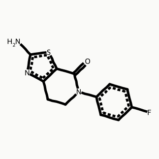 Nc1nc2c(s1)C(=O)N(c1ccc(F)cc1)CC2